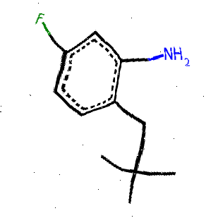 CC(C)(C)Cc1ccc(F)cc1N